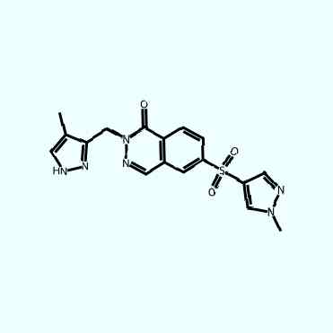 Cc1c[nH]nc1Cn1ncc2cc(S(=O)(=O)c3cnn(C)c3)ccc2c1=O